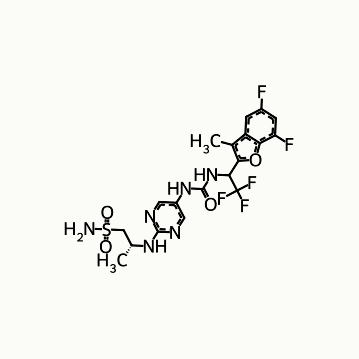 Cc1c(C(NC(=O)Nc2cnc(N[C@H](C)CS(N)(=O)=O)nc2)C(F)(F)F)oc2c(F)cc(F)cc12